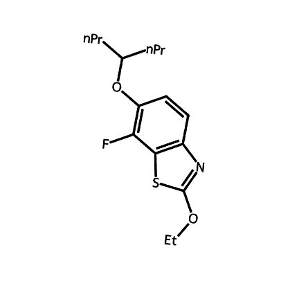 CCCC(CCC)Oc1ccc2nc(OCC)sc2c1F